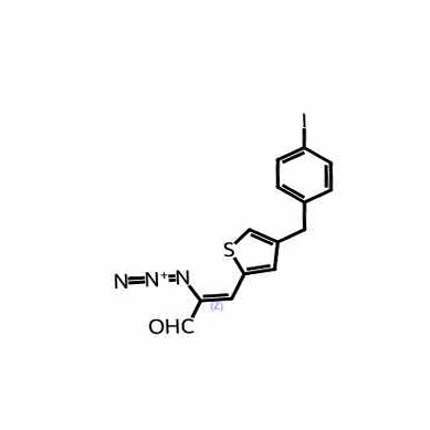 [N-]=[N+]=N/C(C=O)=C\c1cc(Cc2ccc(I)cc2)cs1